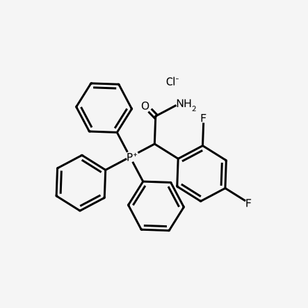 NC(=O)C(c1ccc(F)cc1F)[P+](c1ccccc1)(c1ccccc1)c1ccccc1.[Cl-]